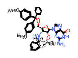 COc1ccc(C(OC[C@H]2O[C@@H](n3cnc4c(=O)[nH]c(N)nc43)[C@H](O[Si](C)(C)C(C)(C)C)[C@@H]2NCc2ccccc2)(c2ccccc2)c2ccc(OC)cc2)cc1